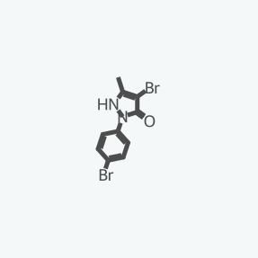 Cc1[nH]n(-c2ccc(Br)cc2)c(=O)c1Br